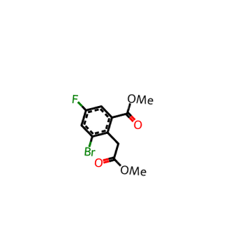 COC(=O)Cc1c(Br)cc(F)cc1C(=O)OC